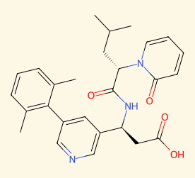 Cc1cccc(C)c1-c1cncc([C@H](CC(=O)O)NC(=O)[C@H](CC(C)C)n2ccccc2=O)c1